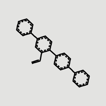 C=Cc1cc(-c2ccccc2)ccc1-c1ccc(-c2ccccc2)cc1